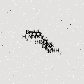 C[C@]1(CCc2ccc3cc(Br)c(N)nc3c2)C[C@@H](n2ccc3c(N)ncnc32)[C@H](O)[C@@H]1O